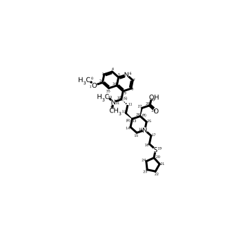 COc1ccc2nccc([C@H](CC[C@@H]3CCN(CCSC4CCCC4)C[C@@H]3CC(=O)O)N(C)C)c2c1